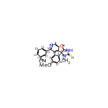 COc1ccc(C2(c3ccnc(-c4cccc(C#N)c4)c3)C(=O)NC(=S)N2C)cc1